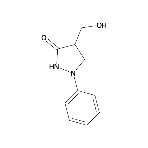 O=C1NN(c2ccccc2)CC1CO